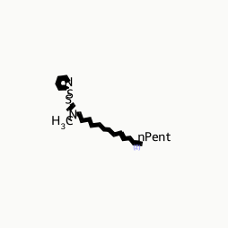 CCCCC/C=C\CC=CCCCCCCCCN(C)CCSSc1ccccn1